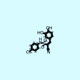 N#CC(=Cc1ccc(O)c(O)c1)S(=O)(=O)Nc1ccc(Cl)cc1